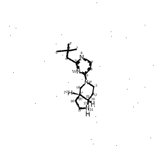 CC(C)(C)Cc1nccc(N2CC[C@@H]3NCC[C@@H]3C2)n1